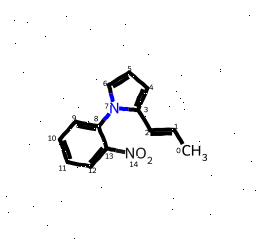 CC=Cc1cccn1-c1ccccc1[N+](=O)[O-]